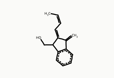 C=C1/C(=C\C=C/C)C(CO)c2ccccc21